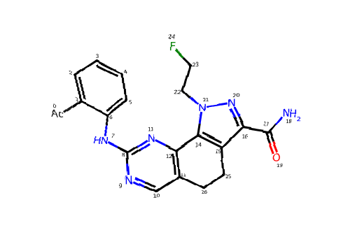 CC(=O)c1ccccc1Nc1ncc2c(n1)-c1c(c(C(N)=O)nn1CCF)CC2